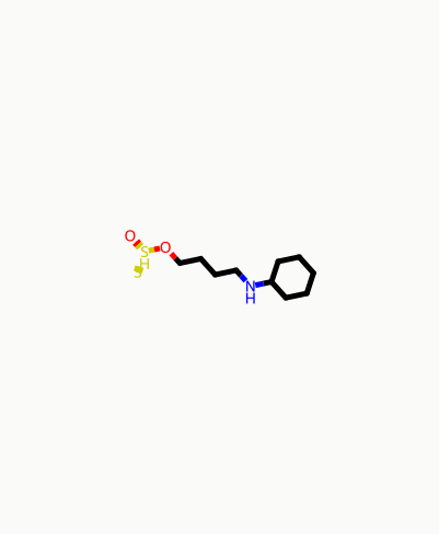 O=[SH](=S)OCCCCNC1CCCCC1